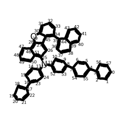 c1ccc(-c2ccc(-c3ccc(N(c4ccc(-c5ccccc5)cc4)c4cc5c(oc6cccc(-c7cccc8ccccc78)c65)c5ccccc45)cc3)cc2)cc1